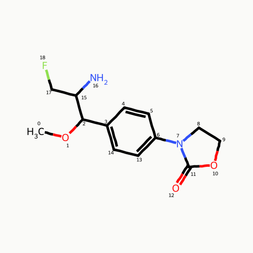 COC(c1ccc(N2CCOC2=O)cc1)C(N)CF